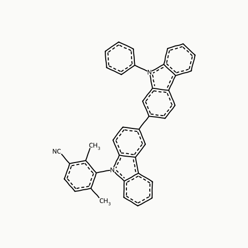 Cc1ccc(C#N)c(C)c1-n1c2ccccc2c2cc(-c3ccc4c5ccccc5n(-c5ccccc5)c4c3)ccc21